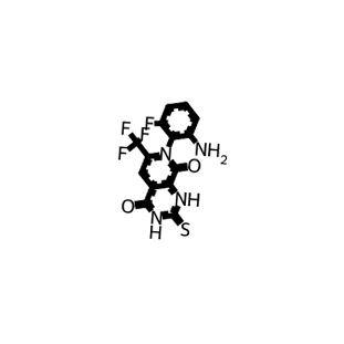 Nc1cccc(F)c1-n1c(C(F)(F)F)cc2c(=O)[nH]c(=S)[nH]c2c1=O